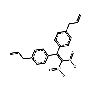 C=CCc1ccc(C(=C([N+](=O)[O-])[N+](=O)[O-])c2ccc(CC=C)cc2)cc1